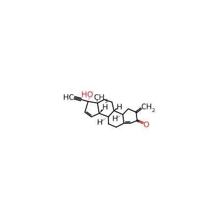 C#C[C@]1(O)C=C[C@H]2[C@@H]3CCC4=CC(=O)C(=C)C[C@@H]4[C@H]3CC[C@@]21C